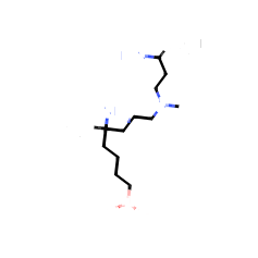 CN(CCCC(N)(CCCCB(O)O)C(=O)O)CCC(N)C(=O)O